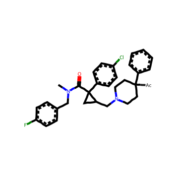 CC(=O)C1(c2ccccc2)CCN(CC2CC2(C(=O)N(C)Cc2ccc(F)cc2)c2ccc(Cl)cc2)CC1